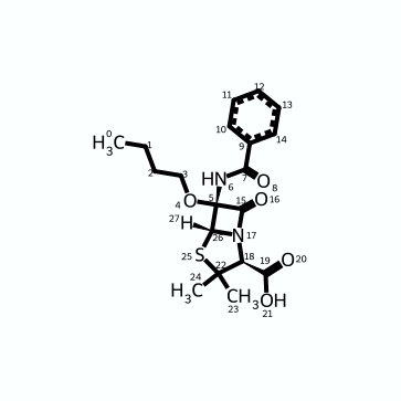 CCCCO[C@]1(NC(=O)c2ccccc2)C(=O)N2[C@@H](C(=O)O)C(C)(C)S[C@@H]21